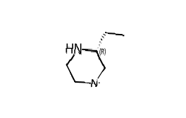 CC[C@@H]1C[N]CCN1